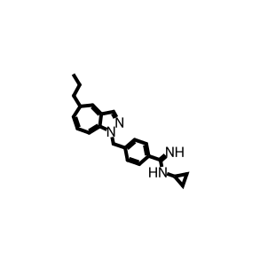 CCCC1C=CC=c2c(cnn2Cc2ccc(C(=N)NC3CC3)cc2)=C1